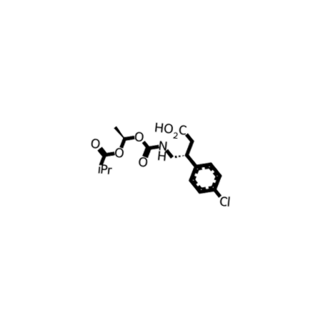 CC(C)C(=O)O[C@@H](C)OC(=O)NC[C@H](CC(=O)O)c1ccc(Cl)cc1